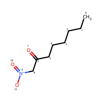 CCCCCCC(=O)C[N+](=O)[O-]